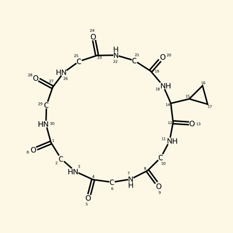 O=C1CNC(=O)CNC(=O)CNC(=O)C(C2CC2)NC(=O)CNC(=O)CNC(=O)CN1